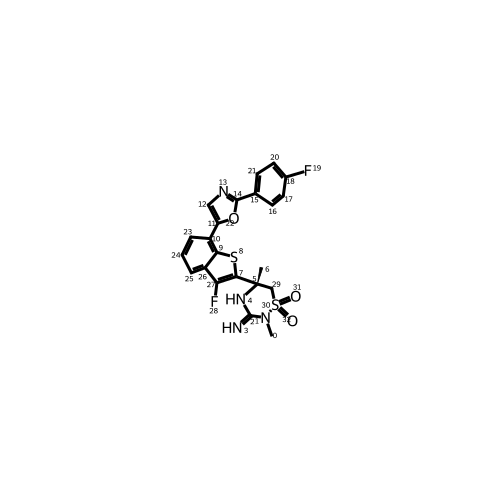 CN1C(=N)N[C@](C)(c2sc3c(-c4cnc(-c5ccc(F)cc5)o4)cccc3c2F)CS1(=O)=O